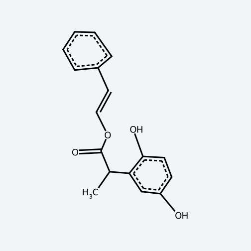 CC(C(=O)OC=Cc1ccccc1)c1cc(O)ccc1O